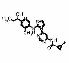 CC[C@H](O)c1cc(C)c(Nc2nccn2-c2cc(NC(=O)[C@@H]3C[C@@H]3F)ncn2)cn1